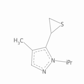 Cc1cnn(C(C)C)c1C1CS1